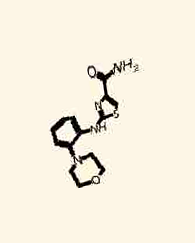 NC(=O)c1csc(Nc2ccccc2N2CCOCC2)n1